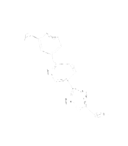 CCC(C)c1nc(-c2ccc(-c3cccc(F)c3)nc2)no1